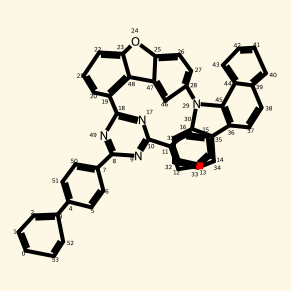 c1ccc(-c2ccc(-c3nc(-c4ccccc4)nc(-c4cccc5oc6ccc(-n7c8ccccc8c8ccc9ccccc9c87)cc6c45)n3)cc2)cc1